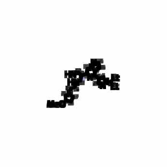 CCC(CC)n1cc(-c2nc(/C(C=N)=C/NCCN3CCC(OC)C3)cn3nccc23)cn1